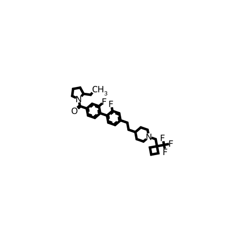 CCC1CCCN1C(=O)c1ccc(-c2ccc(CCC3CCN(CC4(C(F)(F)F)CCC4)CC3)cc2F)c(F)c1